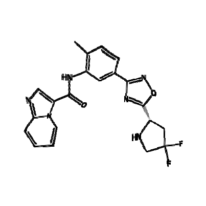 Cc1ccc(-c2noc([C@@H]3CC(F)(F)CN3)n2)cc1NC(=O)c1cnc2ccccn12